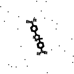 CCN(CC)c1ccc(C2CC(C)(c3ccc(N(CC)CC)cc3)N=N2)cc1